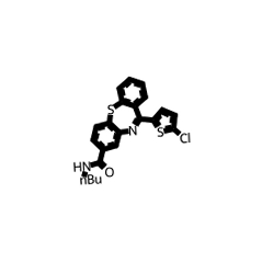 CCCCNC(=O)c1ccc2c(c1)N=C(c1ccc(Cl)s1)c1ccccc1S2